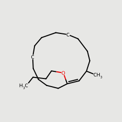 CCCCO/C1=C\C(C)CCCCCCCCCCCC1